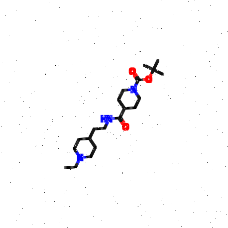 CCN1CCC(CCNC(=O)C2CCN(C(=O)OC(C)(C)C)CC2)CC1